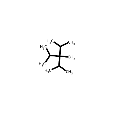 BC(C(C)C)(C(C)C)C(C)C